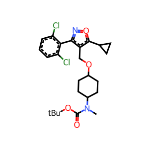 CN(C(=O)OC(C)(C)C)C1CCC(OCc2c(-c3c(Cl)cccc3Cl)noc2C2CC2)CC1